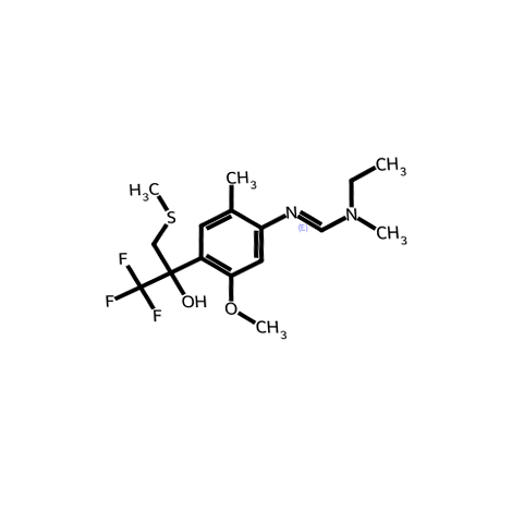 CCN(C)/C=N/c1cc(OC)c(C(O)(CSC)C(F)(F)F)cc1C